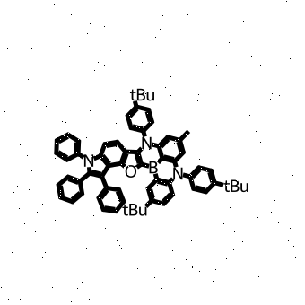 Cc1cc2c3c(c1)N(c1ccc(C(C)(C)C)cc1)c1c(oc4c1ccc1c4c(-c4ccccc4)c(-c4ccccc4)n1-c1ccccc1)B3c1cc(C(C)(C)C)ccc1N2c1ccc(C(C)(C)C)cc1